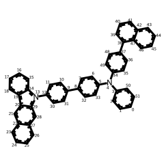 c1ccc(N(c2ccc(-c3ccc(-n4c5ccccc5c5cc6ccccc6cc54)cc3)cc2)c2ccc(-c3cccc4ccccc34)cc2)cc1